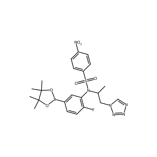 CC(Cn1cnnn1)N(c1cc(B2OC(C)(C)C(C)(C)O2)ccc1F)S(=O)(=O)c1ccc([N+](=O)[O-])cc1